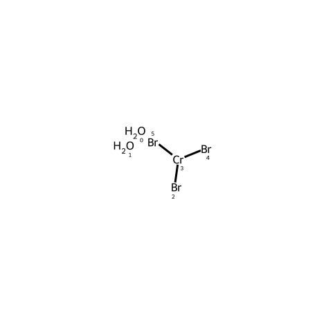 O.O.[Br][Cr]([Br])[Br]